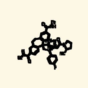 CCNC(=O)c1ccc2c(c1)CCc1cc(C(=O)NCC)ccc1C2(C[C@@H](NCC(=O)N1CCC[C@H]1C#N)c1ccc(F)cc1)c1nnn[nH]1